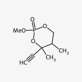 C#CC1(C)OP(=O)(OC)OCC1C